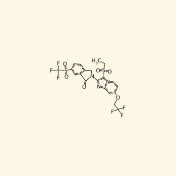 CCS(=O)(=O)c1c(N2Cc3ccc(S(=O)(=O)C(F)(F)F)cc3C2=O)nc2cc(OCC(F)(F)F)ccn12